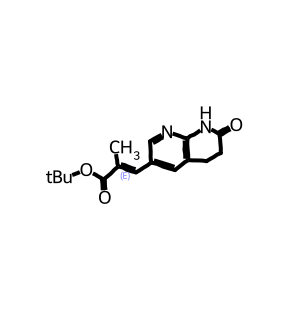 C/C(=C\c1cnc2c(c1)CCC(=O)N2)C(=O)OC(C)(C)C